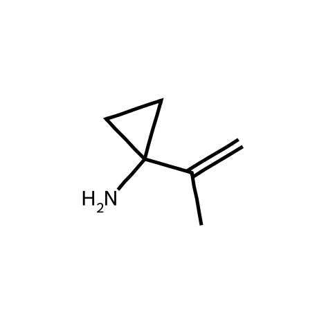 C=C(C)C1(N)CC1